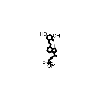 C=C1/C(=C\C=C2/CCC[C@]3(C)/C(=C(/C)C#CCC(O)(CC)CC)CC[C@@H]23)C[C@@H](O)C[C@@H]1O